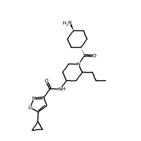 CCCC1CC(NC(=O)c2cc(C3CC3)on2)CCN1C(=O)[C@H]1CC[C@H](N)CC1